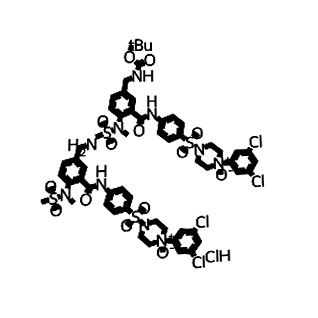 CN(c1ccc(CN)cc1C(=O)Nc1ccc(S(=O)(=O)N2CC[N+]([O-])(c3cc(Cl)cc(Cl)c3)CC2)cc1)S(C)(=O)=O.CN(c1ccc(CNC(=O)OC(C)(C)C)cc1C(=O)Nc1ccc(S(=O)(=O)N2CC[N+]([O-])(c3cc(Cl)cc(Cl)c3)CC2)cc1)S(C)(=O)=O.Cl